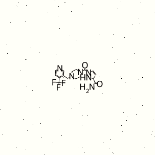 NC(=O)C1C=CN(C(=O)N2CCN(Cc3cnccc3C(F)(F)F)CC2)N1